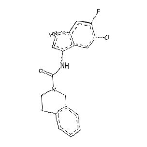 O=C(Nc1c[nH]c2cc(F)c(Cl)cc12)N1CCc2ccccc2C1